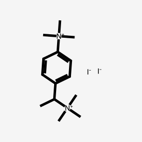 CC(c1ccc([N+](C)(C)C)cc1)[N+](C)(C)C.[I-].[I-]